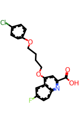 O=C(O)c1cc(OCCCCOc2ccc(Cl)cc2)c2cc(F)ccc2n1